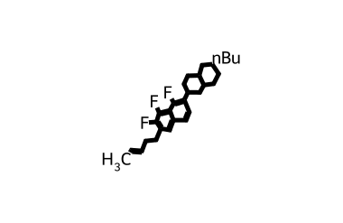 CC=CCCc1cc2ccc(C3CCC4CC(CCCC)CCC4C3)c(F)c2c(F)c1F